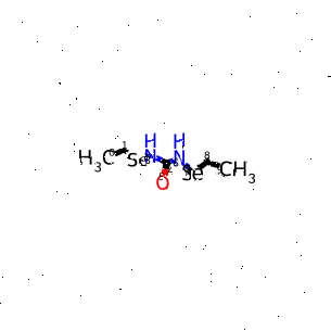 CC[Se]NC(=O)N[Se]CC